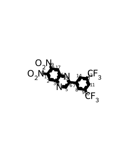 O=[N+]([O-])c1cc2ncc(-c3cc(C(F)(F)F)cc(C(F)(F)F)c3)nc2cc1[N+](=O)[O-]